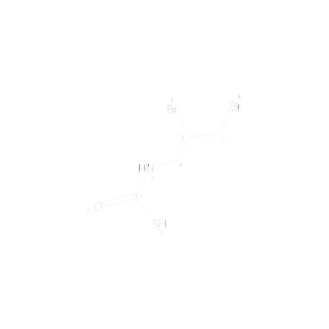 O=C(S)NCC(Br)CBr